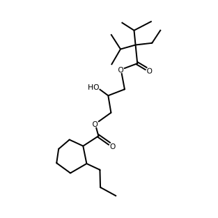 CCCC1CCCCC1C(=O)OCC(O)COC(=O)C(CC)(C(C)C)C(C)C